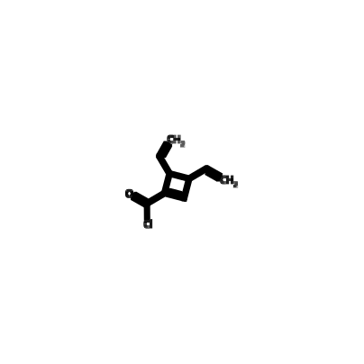 C=CC1C=C(C(=O)Cl)C1C=C